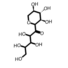 O=C(C(O)C(O)C(O)CO)C1OC[C@@H](O)[C@H](O)[C@H]1O